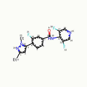 CCc1cc(-c2ccc(C(=O)Nc3c(F)cncc3F)cc2F)n(CC)n1